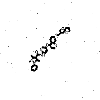 C=C1C(C(=O)Nc2ccc(Oc3ccnc4cc(OCC5COC6(CCCO6)C5)ccc34)cn2)=C(C)N(C)N1c1ccccc1